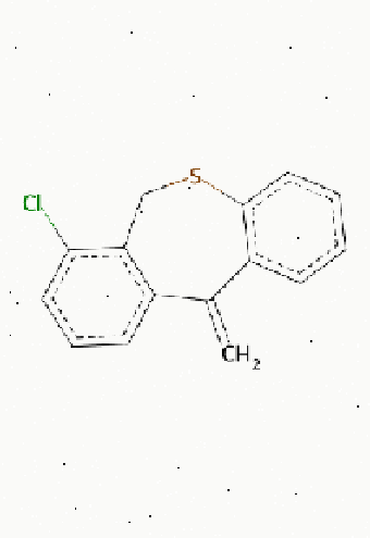 C=C1c2ccccc2SCc2c(Cl)cccc21